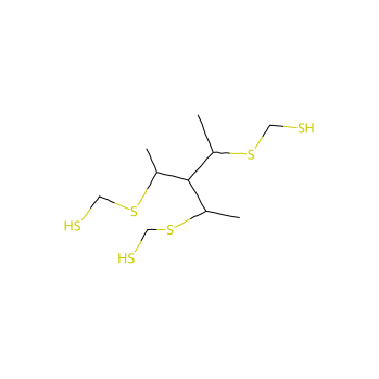 CC(SCS)C(C(C)SCS)C(C)SCS